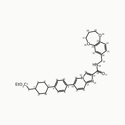 CCOC(=O)CC1CCC(c2ccc(-c3ccc4nc(C(=O)NCc5ccc6c(c5)OCCCO6)cn4c3)cc2)CC1